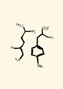 COc1ccc(CC(N)C(=O)O)cc1.NCC(O)CCC(N)C(=O)O